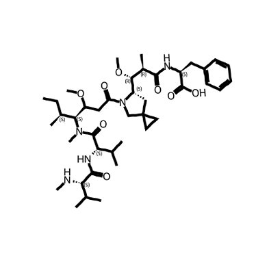 CC[C@H](C)[C@@H](C(CC(=O)N1CC2(CC2)C[C@H]1[C@H](OC)[C@@H](C)C(=O)N[C@@H](Cc1ccccc1)C(=O)O)OC)N(C)C(=O)[C@@H](NC(=O)[C@@H](NC)C(C)C)C(C)C